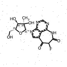 C[C@@]1(O)[C@H](O)[C@@H](CO)O[C@H]1n1cc2c3c(ncnc31)NC(=O)C(F)C2=O